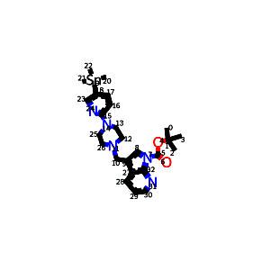 CC(C)(C)OC(=O)n1cc(CN2CCN(c3cc[c]([Sn]([CH3])([CH3])[CH3])cn3)CC2)c2cccnc21